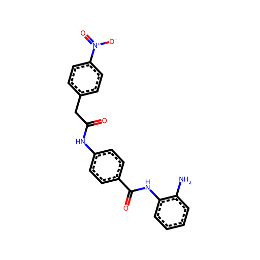 Nc1ccccc1NC(=O)c1ccc(NC(=O)Cc2ccc([N+](=O)[O-])cc2)cc1